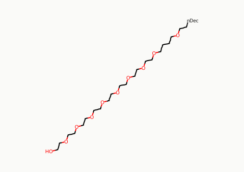 CCCCCCCCCCCCOCCCCOCCOCCOCCOCCOCCOCCOCCOCCO